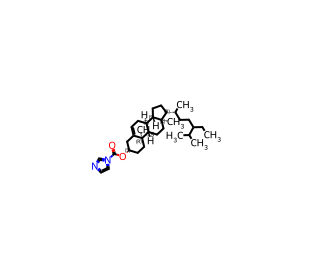 CCC(CCC(C)[C@H]1CC[C@H]2[C@@H]3CC=C4C[C@@H](OC(=O)n5ccnc5)CC[C@]4(C)[C@H]3CC[C@]12C)C(C)C